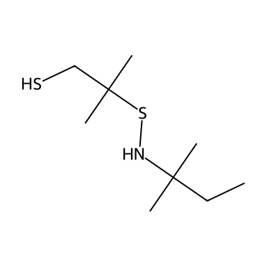 CCC(C)(C)NSC(C)(C)CS